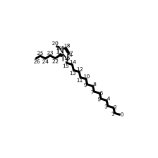 CCCCCCCCCCCCCCCC[n+]1ccn(C)c1CCCCC